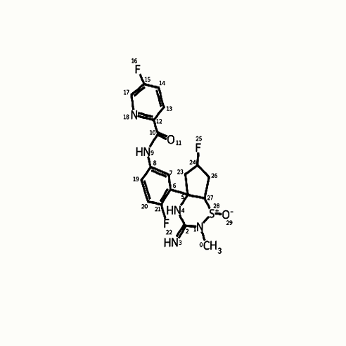 CN1C(=N)NC2(c3cc(NC(=O)c4ccc(F)cn4)ccc3F)CC(F)CC2[S+]1[O-]